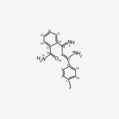 Cc1ccc(/C(N)=C/C(=N)c2ccccc2C(N)=O)cc1